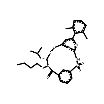 CCCCON1C(=O)c2cccc(c2)S(=O)(=O)Nc2nc(cc(-c3c(C)cccc3C)n2)OC[C@H]1CC(C)C